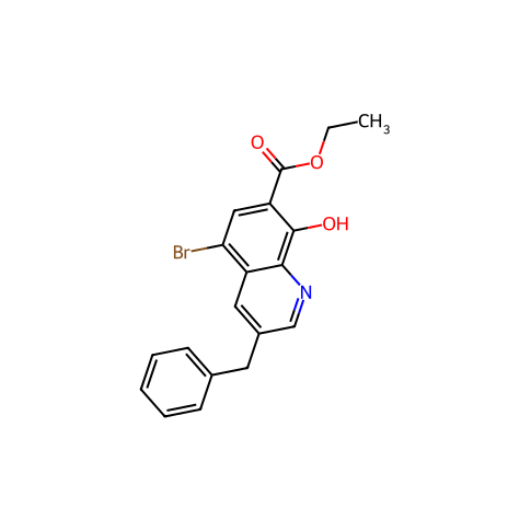 CCOC(=O)c1cc(Br)c2cc(Cc3ccccc3)cnc2c1O